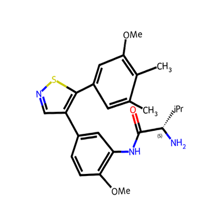 COc1ccc(-c2cnsc2-c2cc(C)c(C)c(OC)c2)cc1NC(=O)[C@@H](N)C(C)C